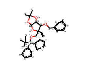 C=CC1(CO[Si](c2ccccc2)(c2ccccc2)C(C)(C)C)OC2OC(C)(C)OC2C1OCc1ccccc1